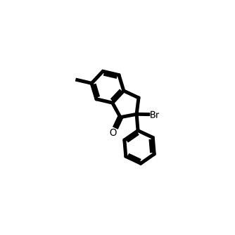 Cc1ccc2c(c1)C(=O)C(Br)(c1ccccc1)C2